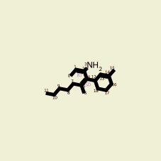 C/C=C(N)\C(=C(\C)CCCCC)C1C=C(C)CCC1